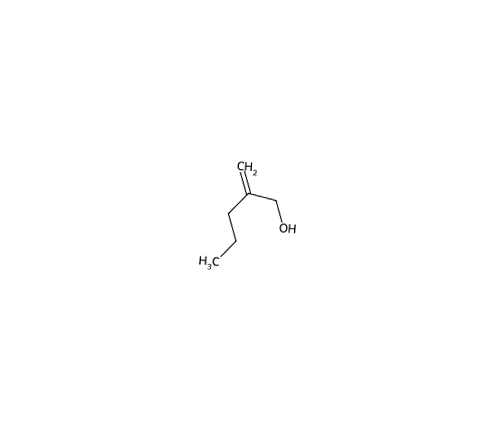 C=C(CO)CCC